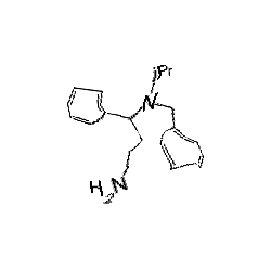 CC(C)N(Cc1ccccc1)C(CCCN)c1ccccc1